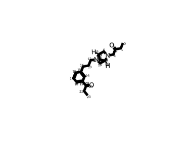 CCC(=O)CN1C[C@@H]2C[C@H]1CN2CCCc1cccc(C(=O)CC)c1